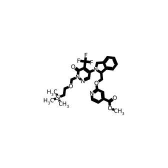 COC(=O)c1ccnc(OCC2c3ccccc3CN2c2cnn(COCC[Si](C)(C)C)c(=O)c2C(F)(F)F)c1